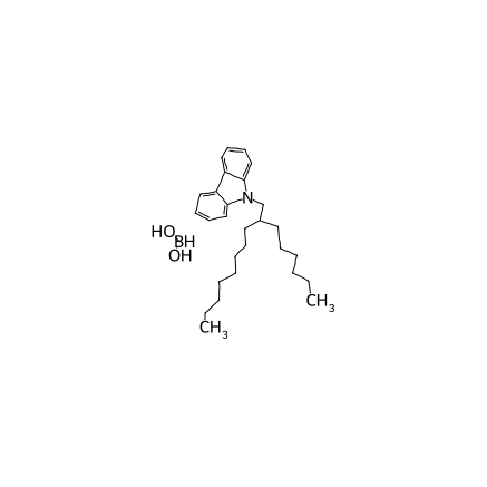 CCCCCCCCC(CCCCCC)Cn1c2ccccc2c2ccccc21.OBO